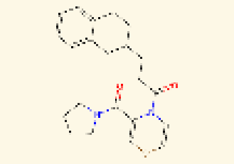 O=C(C1=CSC=CN1C(=O)CCC1CCc2ccccc2C1)N1CCCC1